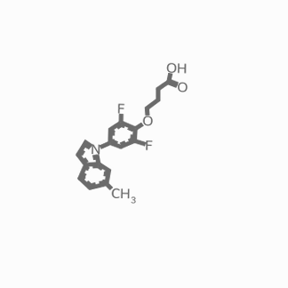 Cc1ccc2ccn(-c3cc(F)c(OCCCC(=O)O)c(F)c3)c2c1